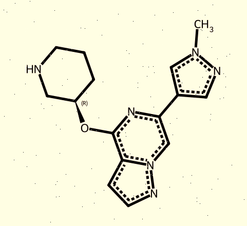 Cn1cc(-c2cn3nccc3c(O[C@@H]3CCCNC3)n2)cn1